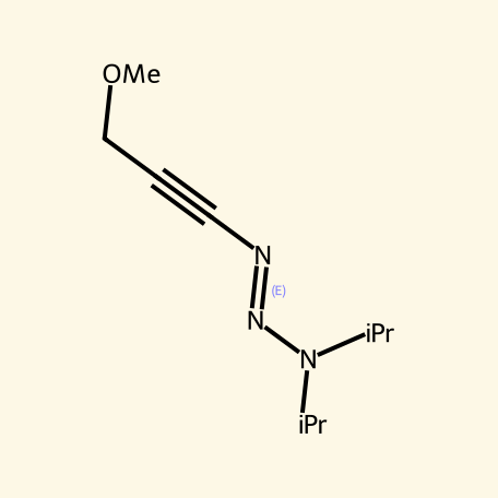 COCC#C/N=N/N(C(C)C)C(C)C